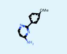 COc1ccc(-c2nccc(N)n2)cc1